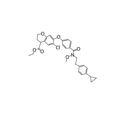 CCOC(=O)C1CCOc2cc(Oc3ccc(C(=O)N(CCc4ccc(C5CC5)cc4)OC)cc3)c(Cl)cc21